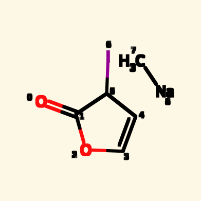 O=C1OC=CC1I.[CH3][Na]